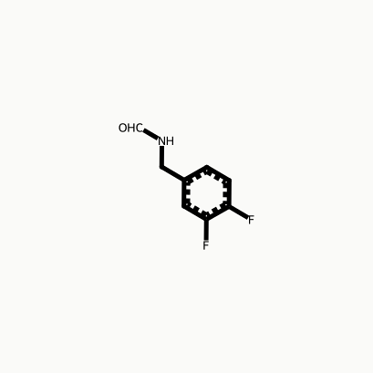 O=CNCc1ccc(F)c(F)c1